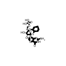 Nc1nc2c(ncn2[C@]2(Sc3ccccc3N)O[C@H](COP(=O)(O)O)[C@@H](O)[C@H]2O)c(=O)[nH]1